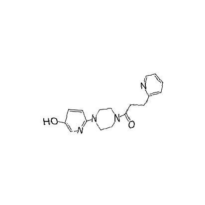 O=C(CCc1ccccn1)N1CCN(c2ccc(O)cn2)CC1